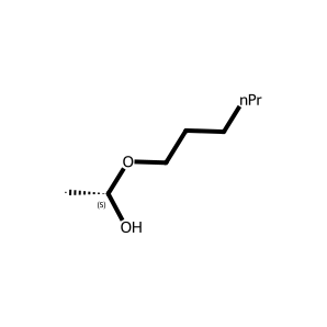 [CH2][C@@H](O)OCCCCCC